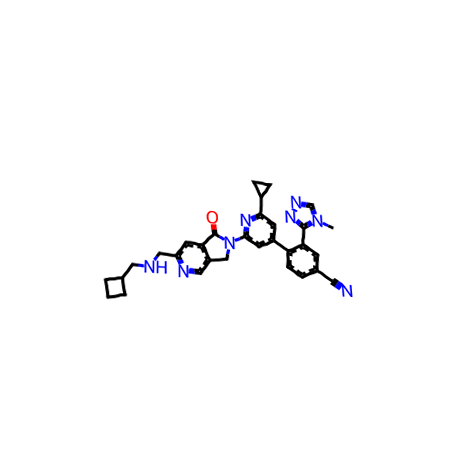 Cn1cnnc1-c1cc(C#N)ccc1-c1cc(C2CC2)nc(N2Cc3cnc(CNCC4CCC4)cc3C2=O)c1